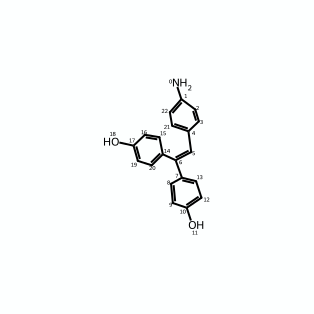 Nc1ccc(C=C(c2ccc(O)cc2)c2ccc(O)cc2)cc1